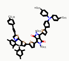 CCCCCCCCc1ccc(N(c2ccc(CCCCCCCC)cc2)c2ccc(-c3ccc(C4=C5C(=O)N(CCCCCCCC)C(c6ccc(-c7cc(B(c8c(C)cc(C)cc8C)c8c(C)cc(C)cc8C)c(-c8ncc(C#Cc9ccc(C(=O)O)cc9)s8)s7)s6)=C5C(=O)N4CCCCCCCC)s3)cc2)cc1